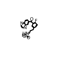 O=C(c1ccc2nccnc2c1)c1cc(CCCN[SH](=O)=O)ccc1F